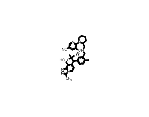 Cc1ccc(C(c2ccn3c(C(F)(F)F)nnc3c2C)C(C)(C)C(=O)O)cc1CN1CC2CCCCN2c2ncc(C#N)cc2[S+]1[O-]